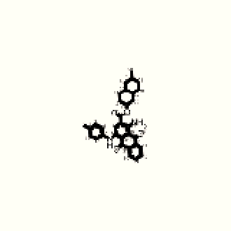 Cc1ccc(Nc2cc(C(=O)OC3CCC4CC(C)CCC4C3)c(N)c3c2C(=O)c2ccccc2C3=O)cc1